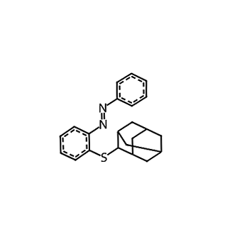 c1ccc(N=Nc2ccccc2SC2C3CC4CC(C3)CC2C4)cc1